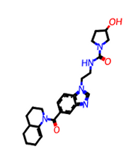 O=C(NCCn1cnc2cc(C(=O)N3CCCC4CCCC=C43)ccc21)N1CCC(O)C1